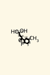 Cc1ccc(F)c(C(=O)/C=C/C(O)O)c1